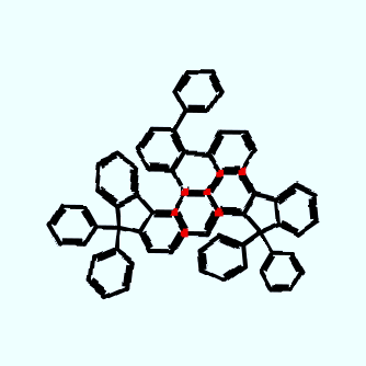 c1ccc(-c2ccccc2-c2c(-c3ccccc3)cccc2N(c2ccc3c(c2)C(c2ccccc2)(c2ccccc2)c2ccccc2-3)c2cccc3c2-c2ccccc2C3(c2ccccc2)c2ccccc2)cc1